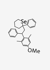 COc1cc(C)c(C(CC2(c3ccccc3)CCCC[Se]2)c2ccccc2)c(C)c1